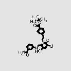 CC(C)(C)OC(=O)c1ccc(CCn2c(CNc3cccc(C(N)=O)c3)c(Cl)cc(Cl)c2=O)cc1